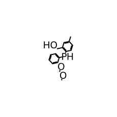 COCOc1ccccc1Pc1ccc(C)cc1CO